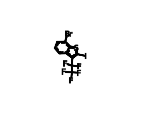 FC(F)(F)C(F)(F)c1c(I)sc2c(Br)cccc12